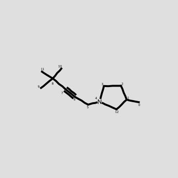 CC1CCN(CC#CC(C)(C)C)C1